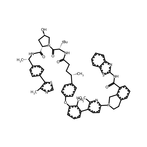 Cc1ncsc1-c1ccc([C@H](C)NC(=O)[C@@H]2C[C@@H](O)CN2C(=O)[C@@H](NC(=O)CC[C@H](C)c2ccc(Oc3cccc(-c4ccc(N5CCc6cccc(C(=O)Nc7nc8ccccc8s7)c6C5)nc4C(=O)O)c3C)cc2)C(C)(C)C)cc1